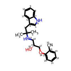 CC(C)(Cc1c[nH]c2ccccc12)NC[C@@H](O)COc1ccccc1C#N